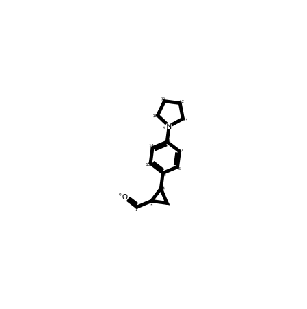 O=CC1CC1c1ccc(N2CCCC2)cc1